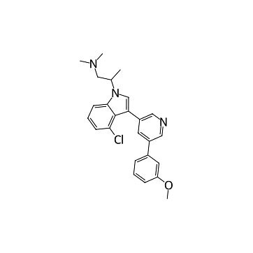 COc1cccc(-c2cncc(-c3cn(C(C)CN(C)C)c4cccc(Cl)c34)c2)c1